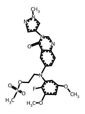 COc1cc(OC)c(F)c(N(CCOS(C)(=O)=O)c2ccc3ncn(-c4cnn(C)c4)c(=O)c3c2)c1